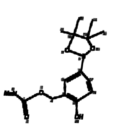 CNC(=O)OCc1cc(B2OC(C)(C)C(C)(C)O2)ccc1O